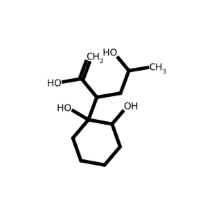 C=C(O)C(CC(C)O)C1(O)CCCCC1O